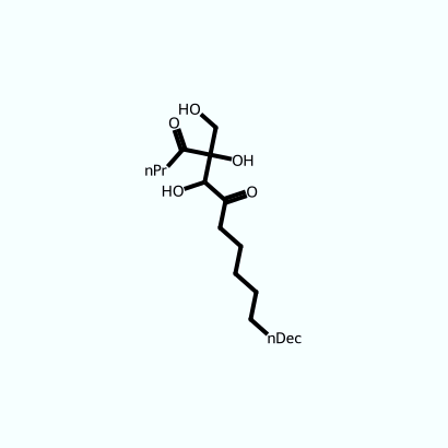 CCCCCCCCCCCCCCCC(=O)C(O)C(O)(CO)C(=O)CCC